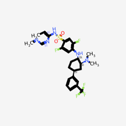 C=N/C=N\C(=C/C)NS(=O)(=O)c1cc(F)c(N[C@H]2CC[C@H](c3cccc(C(F)(F)F)c3)C[C@@H]2N(C)C)cc1F